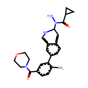 Cc1ccc(C(=O)N2CCOCC2)cc1-c1ccc2c(c1)=CNC(N(N)C(=O)C1CC1)C=2